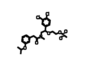 CC(C)Oc1cccc(CC(=O)N(C)CC(OCCOS(C)(=O)=O)c2ccc(Cl)c(Cl)c2)c1